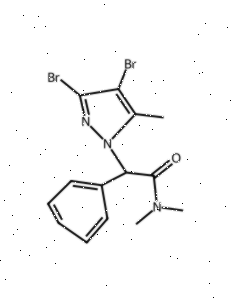 Cc1c(Br)c(Br)nn1C(C(=O)N(C)C)c1ccccc1